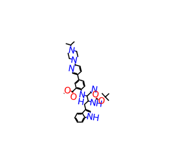 COC(=O)c1cc(-c2ccc(N3CCN(C(C)C)CC3)nc2)ccc1NC(C#N)C(Cc1c[nH]c2ccccc12)NC(=O)OC(C)(C)C